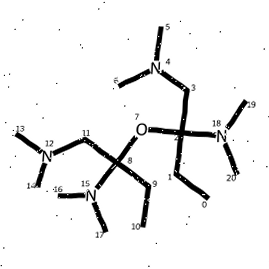 CCC(CN(C)C)(OC(CC)(CN(C)C)N(C)C)N(C)C